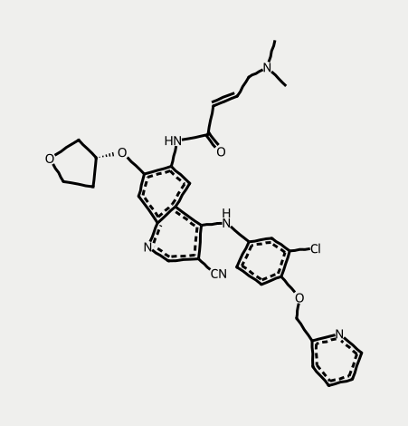 CN(C)CC=CC(=O)Nc1cc2c(Nc3ccc(OCc4ccccn4)c(Cl)c3)c(C#N)cnc2cc1O[C@@H]1CCOC1